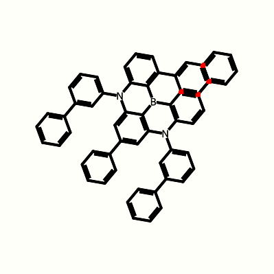 c1ccc(-c2cccc(N3c4ccc(-c5ccccc5)cc4B4c5c(-c6ccccc6)cccc5N(c5cccc(-c6ccccc6)c5)c5cc(-c6ccccc6)cc3c54)c2)cc1